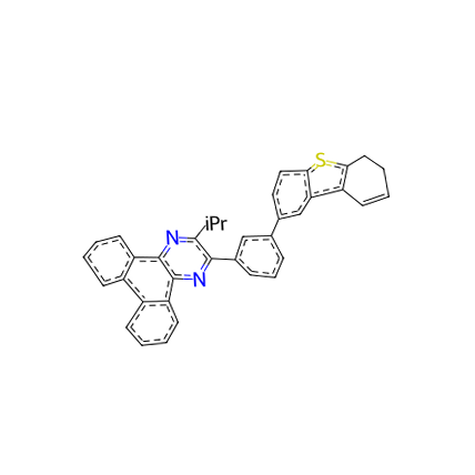 CC(C)c1nc2c3ccccc3c3ccccc3c2nc1-c1cccc(-c2ccc3sc4c(c3c2)C=CCC4)c1